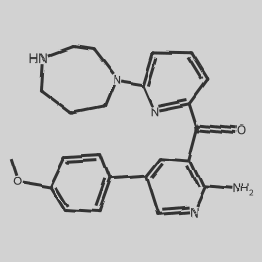 COc1ccc(-c2cnc(N)c(C(=O)c3cccc(N4CCCNCC4)n3)c2)cc1